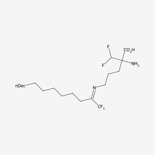 CCCCCCCCCCCCCCCCC(=NCCCC(N)(C(=O)O)C(F)F)C(F)(F)F